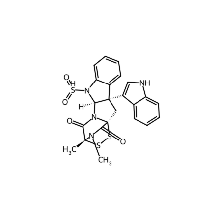 CN1C(=O)[C@@]23C[C@]4(c5c[nH]c6ccccc56)c5ccccc5N([SH](=O)=O)[C@@H]4N2C(=O)[C@@]1(C)SS3